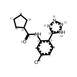 O=C(Nc1cc(Cl)ccc1-c1nnn[nH]1)C1CCCC1